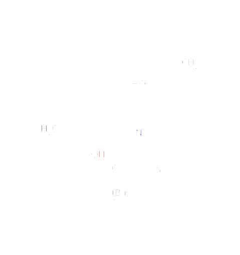 C=CC(O)CN(CC(O)C=C)C(=O)OC(C)(C)C